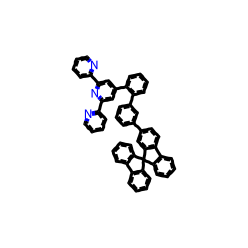 c1ccc(-c2cc(-c3ccccc3-c3cccc(-c4ccc5c(c4)C4(c6ccccc6-c6ccccc64)c4ccccc4-5)c3)cc(-c3ccccn3)n2)nc1